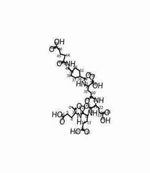 CC(=O)C(CCC(=O)O)NC(=O)C(CCC(=O)O)NC(=O)C(CCC(=O)O)NC(=O)CCC(NC(=O)C1CCC(CNC(=O)CCCC(=O)O)CC1)C(=O)O